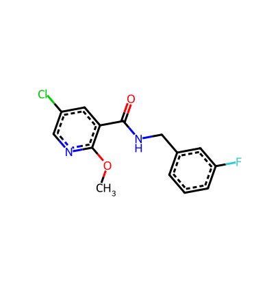 COc1ncc(Cl)cc1C(=O)NCc1cccc(F)c1